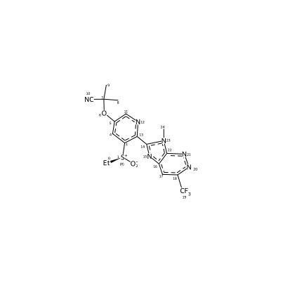 CC[S@+]([O-])c1cc(OC(C)(C)C#N)cnc1-c1nc2cc(C(F)(F)F)nnc2n1C